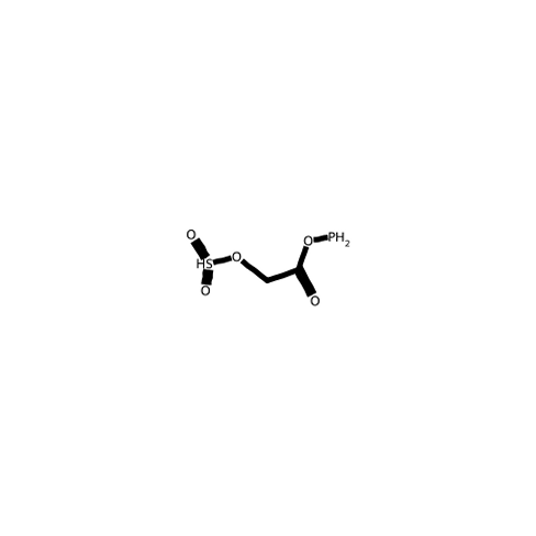 O=C(CO[SH](=O)=O)OP